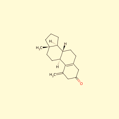 C=C1CC(=O)CC2=C1[C@H]1CC[C@]3(C)CCC[C@H]3[C@@H]1CC2